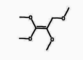 COCC(OC)=C(OC)OC